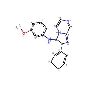 COc1cccc(NC2C(C3=CCCC=C3)N=C3C=NC=CN32)c1